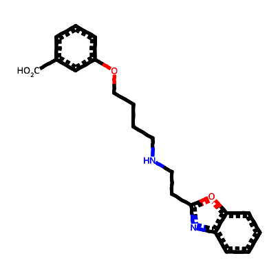 O=C(O)c1cccc(OCCCCNCCc2nc3ccccc3o2)c1